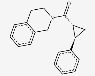 O=C([C@@H]1C[C@H]1c1ccccc1)N1CCc2ccccc2C1